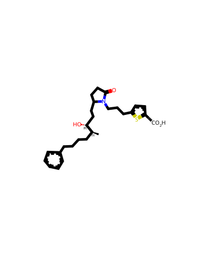 C[C@@H](CCCCc1ccccc1)[C@H](O)CCC1CCC(=O)N1CCCc1ccc(C(=O)O)s1